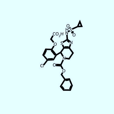 O=C(O)COc1ccc(Cl)cc1C1c2sc(NS(=O)(=O)C3CC3)nc2CCN1C(=O)OCc1ccccc1